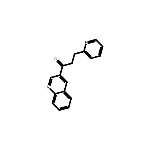 O=C(CCc1ccccn1)c1cnc2ccccc2c1